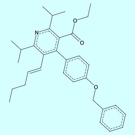 CCC/C=C/c1c(C(C)C)nc(C(C)C)c(C(=O)OCC)c1-c1ccc(OCc2ccccc2)cc1